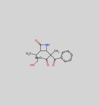 COC(=O)C(C)(C(=O)c1ccccc1)C1NC(=O)C1C(C)CO